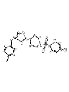 Cc1ccc(Cc2nsc(N3CCN(S(=O)(=O)C4C=CC(Cl)=CC4)CC3)n2)cc1